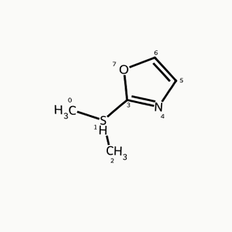 C[SH](C)c1ncco1